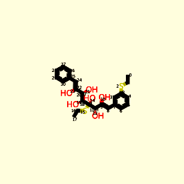 CCSc1cccc(C=C(O)[C@H](O)[C@](O)(SCC)[C@H](O)[C@H](O)C(O)=Cc2ccccc2)c1